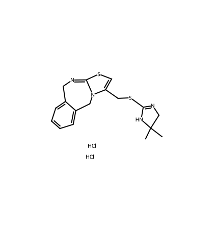 CC1(C)CN=C(SCC2=CSC3=NCc4ccccc4CN23)N1.Cl.Cl